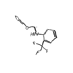 O=CO[CH]Nc1ccccc1C(F)(F)F